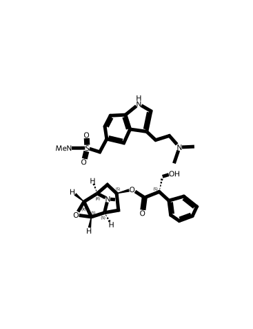 CN1[C@@H]2C[C@@H](OC(=O)[C@H](CO)c3ccccc3)C[C@H]1[C@@H]1O[C@@H]12.CNS(=O)(=O)Cc1ccc2[nH]cc(CCN(C)C)c2c1